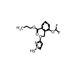 CCCOC(=O)c1cccc(OC(F)F)c1COc1ccn(S)n1